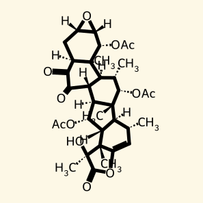 CC(=O)O[C@@H]1[C@H]2[C@@H]3C(=O)C(=O)[C@H]4C[C@@H]5O[C@@H]5[C@H](OC(C)=O)[C@]4(C)[C@H]3[C@H](C)[C@H](OC(C)=O)[C@]2(C)[C@@H]2[C@@H]1[C@]1(C)C(=C[C@H]2C)OC(=O)[C@@]1(C)O